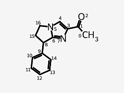 CC(=O)c1cn2c(n1)C(c1ccccc1)CC2